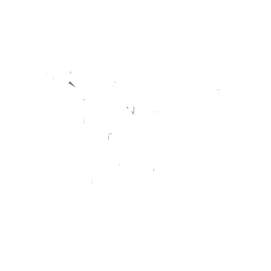 C=CCN1C[C@H](O)C[C@H]1C(=O)O